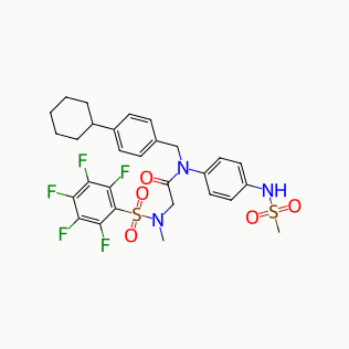 CN(CC(=O)N(Cc1ccc(C2CCCCC2)cc1)c1ccc(NS(C)(=O)=O)cc1)S(=O)(=O)c1c(F)c(F)c(F)c(F)c1F